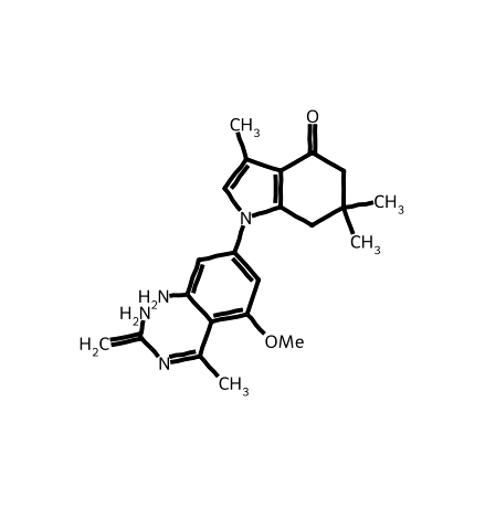 C=C(N)/N=C(/C)c1c(N)cc(-n2cc(C)c3c2CC(C)(C)CC3=O)cc1OC